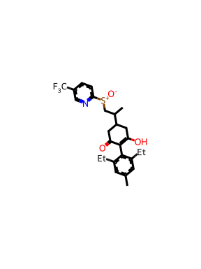 CCc1cc(C)cc(CC)c1C1=C(O)CC(C(C)C[S+]([O-])c2ccc(C(F)(F)F)cn2)CC1=O